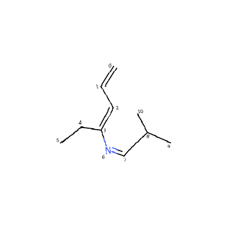 C=C/C=C(CC)/N=C\C(C)C